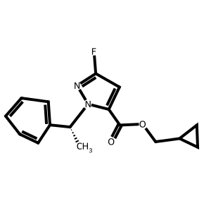 C[C@H](c1ccccc1)n1nc(F)cc1C(=O)OCC1CC1